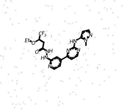 CCOC(CC(=O)NNc1cc(-c2ccnc(Nc3ccnn3C)n2)ccn1)C(F)(F)F